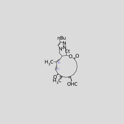 CCCCc1cn(CC2/C=C(C)/C=C/C(=O)[C@H](C)C[C@H](CC=O)CCCCC(=O)OC2CC)nn1